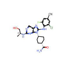 C[C@@H](CO)Nc1ncc2nc(Nc3c(F)cc(C#N)cc3Cl)n([C@H]3CC[C@@H](C(N)=O)CC3)c2n1